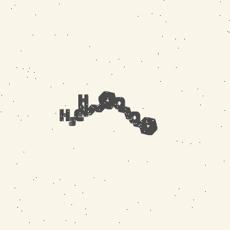 CNCCCc1cccc(OCCCOCc2ccccc2)c1